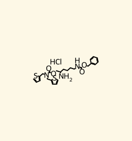 Cl.NC(CCCCNC(=O)OCc1ccccc1)COC(=O)N(Cc1cccs1)Cc1cccs1